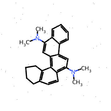 CN(C)c1cc2c(cc(N(C)C)c3ccc4c(c32)CCCC4)c2ccccc12